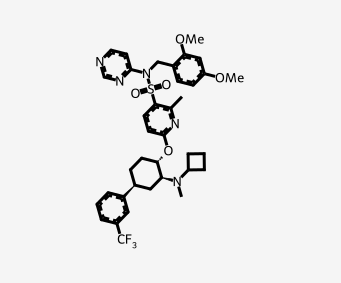 COc1ccc(CN(c2ccncn2)S(=O)(=O)c2ccc(O[C@H]3CC[C@H](c4cccc(C(F)(F)F)c4)C[C@@H]3N(C)C3CCC3)nc2C)c(OC)c1